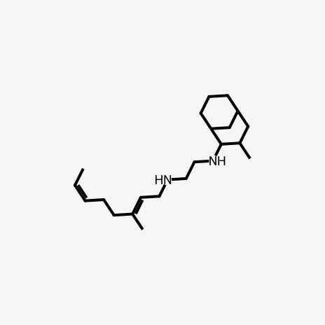 C/C=C\CC/C(C)=C/CNCCNC1C(C)CC2CCCC1C2